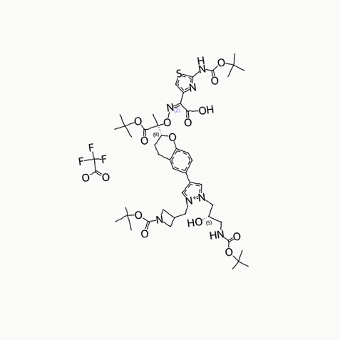 CC(C)(C)OC(=O)NC[C@H](O)Cn1cc(-c2ccc3c(c2)CC[C@H](C(C)(O/N=C(\C(=O)O)c2csc(NC(=O)OC(C)(C)C)n2)C(=O)OC(C)(C)C)O3)c[n+]1CC1CN(C(=O)OC(C)(C)C)C1.O=C([O-])C(F)(F)F